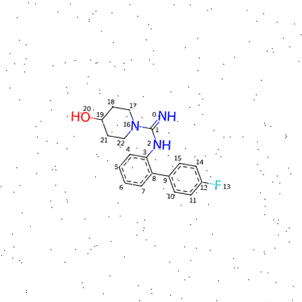 N=C(Nc1ccccc1-c1ccc(F)cc1)N1CCC(O)CC1